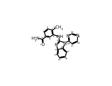 Cc1ccc(C(N)=O)cc1Nc1nc2ccccc2n1-c1ccncn1